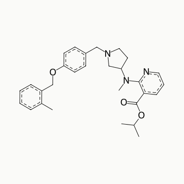 Cc1ccccc1COc1ccc(CN2CCC(N(C)c3ncccc3C(=O)OC(C)C)C2)cc1